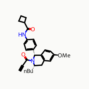 C#CC(=O)N1[C@@H](CCCC)Cc2cc(OC)ccc2[C@H]1c1ccc(NC(=O)C2CCC2)cc1